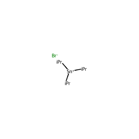 C[CH](C)[Sn+]([CH](C)C)[CH](C)C.[Br-]